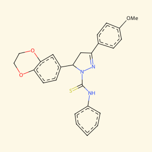 COc1ccc(C2=NN(C(=S)Nc3ccccc3)C(c3ccc4c(c3)OCCO4)C2)cc1